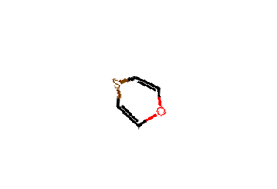 [C]1=CSC=CO1